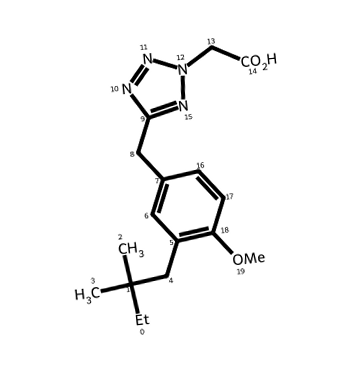 CCC(C)(C)Cc1cc(Cc2nnn(CC(=O)O)n2)ccc1OC